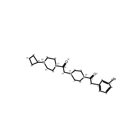 O=C(Cc1cccc(Br)c1)N1CCN(CC(=O)N2CCN(C3CCC3)CC2)CC1